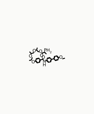 CCOc1ccc(-c2ccc(NC(=O)c3ccc(OC(C)COC(C)COC(C)COC(=O)C(C)P)cc3)cc2)cc1